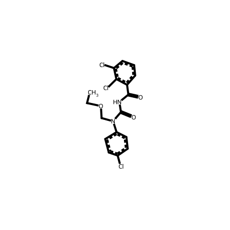 CCOCN(C(=O)NC(=O)c1cccc(Cl)c1Cl)c1ccc(Cl)cc1